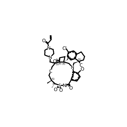 C=CC(=O)N1CCN(C[C@]2(O)CCC[C@H](C)[C@@H](C)S(=O)(=O)NC(=O)c3ccc4c(c3)N(C[C@@H]3CC[C@H]32)C[C@@]2(CCCc3cc(Cl)ccc32)CO4)CC1